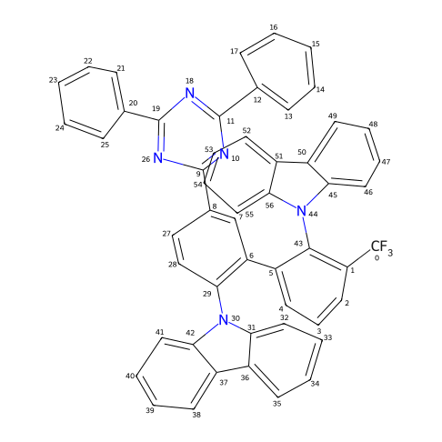 FC(F)(F)c1cccc(-c2cc(-c3nc(-c4ccccc4)nc(-c4ccccc4)n3)ccc2-n2c3ccccc3c3ccccc32)c1-n1c2ccccc2c2ccccc21